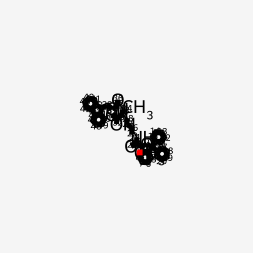 C[C@H](OC(c1ccccc1)(c1ccccc1)c1ccccc1)C(=O)NCCCC[C@@H](C(=O)O)N(C)C(=O)OCC1c2ccccc2-c2ccccc21